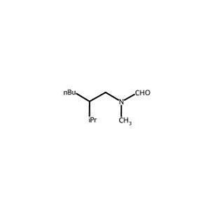 CCCCC(CN(C)C=O)C(C)C